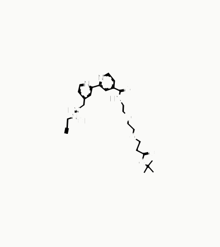 C#CCN(O)NCc1ccnc(-c2cc(C(=O)NCCOCCOCCC(=O)OC(C)(C)C)ccn2)c1